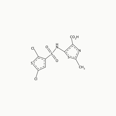 Cc1nc(C(=O)O)c(NS(=O)(=O)c2cc(Cl)sc2Cl)s1